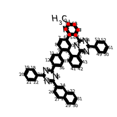 Cc1cccc(-c2ccc(-c3ccc(-c4nc(-c5ccccc5)nc(-c5ccc6ccccc6c5)n4)cc3)c(-c3ccccc3-c3nc(-c4ccccc4)nc(-c4ccccc4)n3)c2)n1